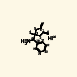 C=CCC(C)(CC=C)C(N)c1ccccc1.I